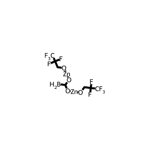 BC([O][Zn][O]CC(F)(F)C(F)(F)F)[O][Zn][O]CC(F)(F)C(F)(F)F